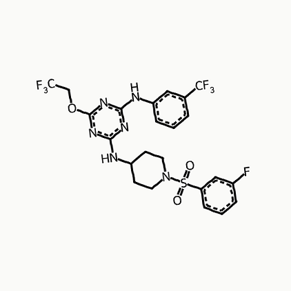 O=S(=O)(c1cccc(F)c1)N1CCC(Nc2nc(Nc3cccc(C(F)(F)F)c3)nc(OCC(F)(F)F)n2)CC1